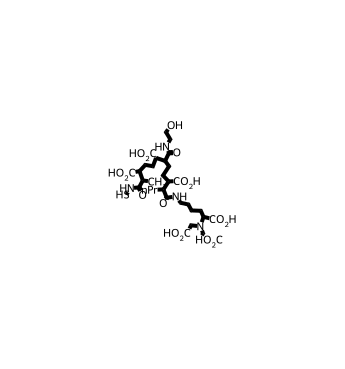 CCCC(C(=O)NCCCCC(C(=O)O)N(CC(=O)O)CC(=O)O)C(CCC(C(=O)NCCO)C(CCC(C(=O)O)C(C)C(=O)NS)C(=O)O)C(=O)O